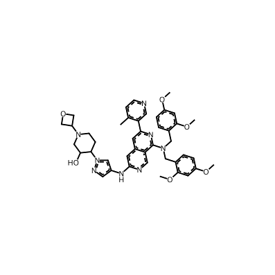 COc1ccc(CN(Cc2ccc(OC)cc2OC)c2nc(-c3cnccc3C)cc3cc(Nc4cnn(C5CCN(C6COC6)CC5O)c4)ncc23)c(OC)c1